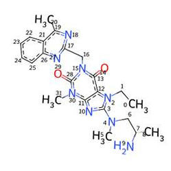 CCn1c(N(C)C[C@H](C)N)nc2c1c(=O)n(Cc1nc(C)c3ccccc3n1)c(=O)n2C